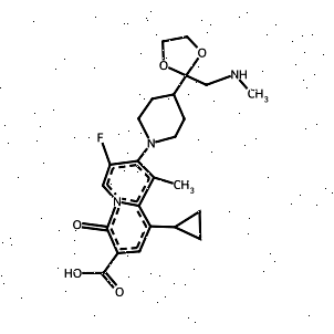 CNCC1(C2CCN(c3c(F)cn4c(=O)c(C(=O)O)cc(C5CC5)c4c3C)CC2)OCCO1